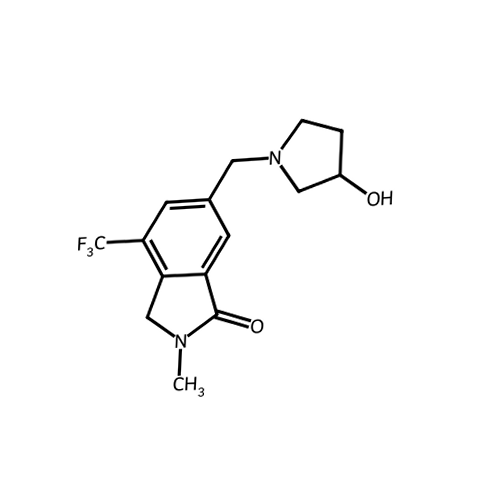 CN1Cc2c(cc(CN3CCC(O)C3)cc2C(F)(F)F)C1=O